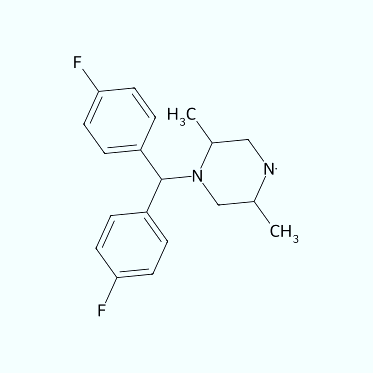 CC1CN(C(c2ccc(F)cc2)c2ccc(F)cc2)C(C)C[N]1